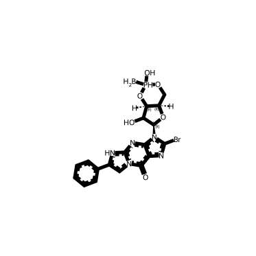 B[PH]1(O)OC[C@H]2O[C@@H](n3c(Br)nc4c(=O)n5cc(-c6ccccc6)[nH]c5nc43)C(O)[C@H]2O1